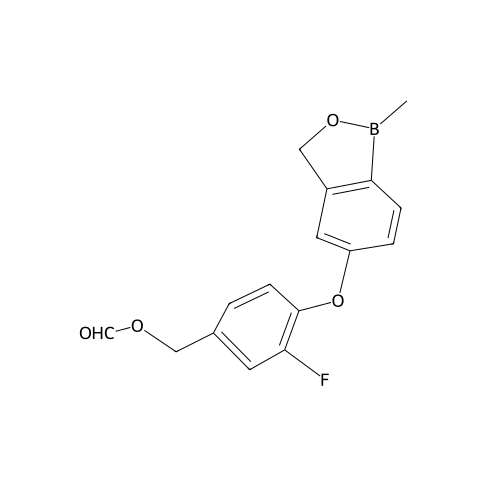 CB1OCc2cc(Oc3ccc(COC=O)cc3F)ccc21